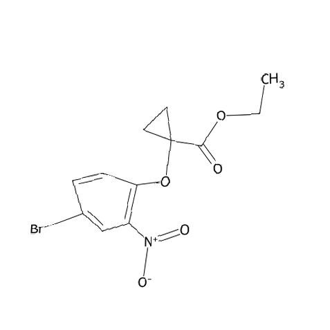 CCOC(=O)C1(Oc2ccc(Br)cc2[N+](=O)[O-])CC1